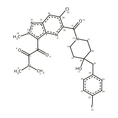 CN(C)C(=O)C(=O)c1c2nc(C(=O)N3CCC(O)(Cc4ccc(F)cc4)CC3)c(Cl)cc2nn1C